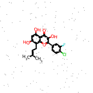 CC(C)=CCc1c(O)cc(O)c2c(=O)c(O)c(-c3ccc(Cl)c(F)c3)oc12